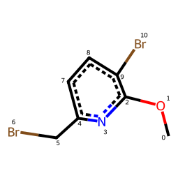 COc1nc(CBr)ccc1Br